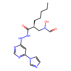 CCCCC[C@@H](CN(O)C=O)C(=O)NNc1cc(-n2ccnc2)ncn1